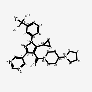 O=C(c1c(-c2cncnc2)nn(-c2cccc(C(F)(F)F)c2)c1C1CC1)N1CCC(N2CCCC2)CC1